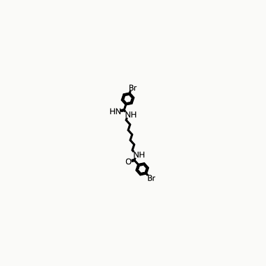 N=C(NCCCCCCCNC(=O)c1ccc(Br)cc1)c1ccc(Br)cc1